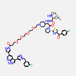 CN[C@@H](C)C(=O)N[C@H](C(=O)N1CCC[C@H]1C1=NC(C(=O)c2ccc(F)cc2)CS1)C1CCN(CCOCCOCCOCCOCCC(=O)n2cc(-c3cnc4[nH]cc(-c5cnn(Cc6cccc(F)c6)c5)c4c3)cn2)CC1